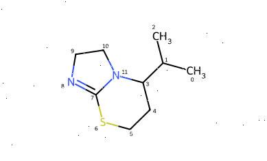 CC(C)C1CCSC2=NCCN21